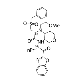 CCC[C@H](NC(=O)[C@H](CS(=O)(=O)Cc1ccccc1)N(CCOC)C1CCOCC1)C(=O)c1nc2ccccc2o1